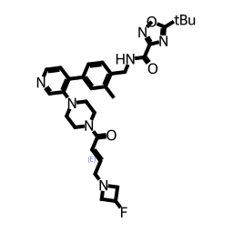 Cc1cc(-c2ccncc2N2CCN(C(=O)/C=C/CN3CC(F)C3)CC2)ccc1CNC(=O)c1noc(C(C)(C)C)n1